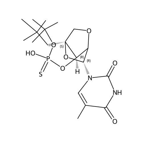 Cc1cn([C@@H]2O[C@@]3(CC(C)(C)C)COC2[C@H]3OP(O)(=S)OC(C)(C)C)c(=O)[nH]c1=O